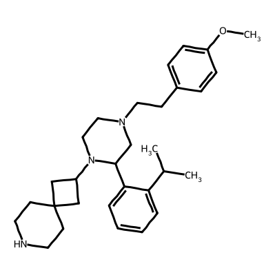 COc1ccc(CCN2CCN(C3CC4(CCNCC4)C3)C(c3ccccc3C(C)C)C2)cc1